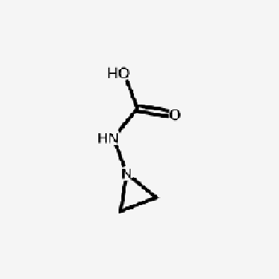 O=C(O)NN1CC1